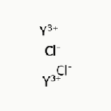 [Cl-].[Cl-].[Y+3].[Y+3]